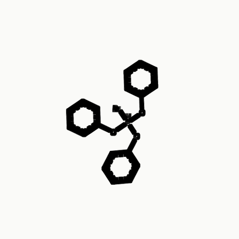 Br[PH](Oc1ccccc1)(Oc1ccccc1)Oc1ccccc1